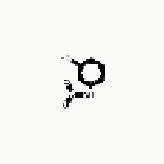 N=S(=O)=O.Oc1ccccc1